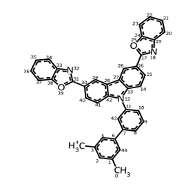 Cc1cc(C)cc(-c2cccc(-n3c4ccc(-c5nc6ccccc6o5)cc4c4cc(-c5nc6ccccc6o5)ccc43)c2)c1